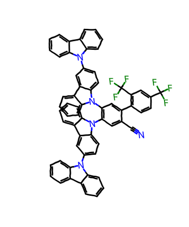 N#Cc1cc(-n2c3ccccc3c3cc(-n4c5ccccc5c5ccccc54)ccc32)c(-n2c3ccccc3c3cc(-n4c5ccccc5c5ccccc54)ccc32)cc1-c1ccc(C(F)(F)F)cc1C(F)(F)F